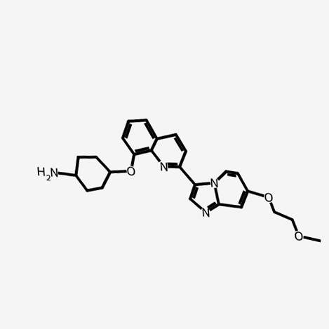 COCCOc1ccn2c(-c3ccc4cccc(OC5CCC(N)CC5)c4n3)cnc2c1